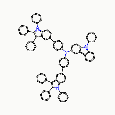 c1ccc(-c2c(-c3ccccc3)n(-c3ccccc3)c3ccc(-c4ccc(N(c5ccc(-c6ccc7c(c6)c(-c6ccccc6)c(-c6ccccc6)n7-c6ccccc6)cc5)c5ccc6c(c5)c5ccccc5n6-c5ccccc5)cc4)cc23)cc1